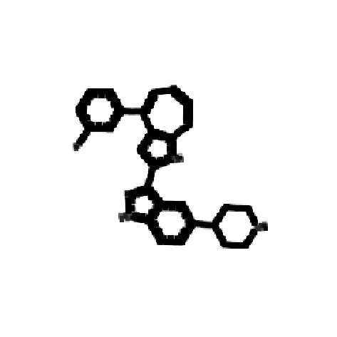 Fc1cccc(C2=CC=C=Cc3[nH]c(-c4n[nH]c5ccc(C6CCNCC6)cc45)cc32)c1